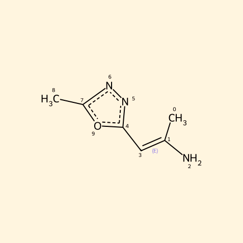 C/C(N)=C\c1nnc(C)o1